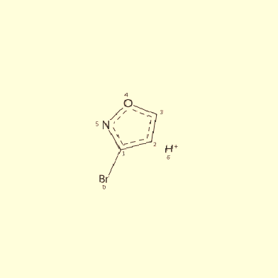 Brc1ccon1.[H+]